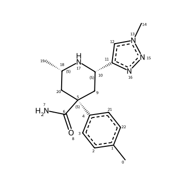 Cc1ccc([C@@]2(C(N)=O)C[C@@H](c3cn(C)nn3)N[C@@H](C)C2)cc1